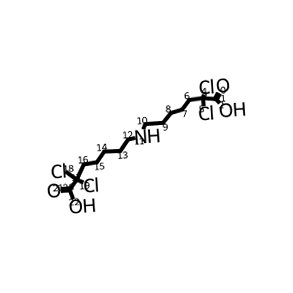 O=C(O)C(Cl)(Cl)CCCCCNCCCCCC(Cl)(Cl)C(=O)O